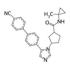 CC1(NC(=O)C2CCC(n3cncc3-c3ccc(-c4ccc(C#N)cc4)cc3)C2)CC1